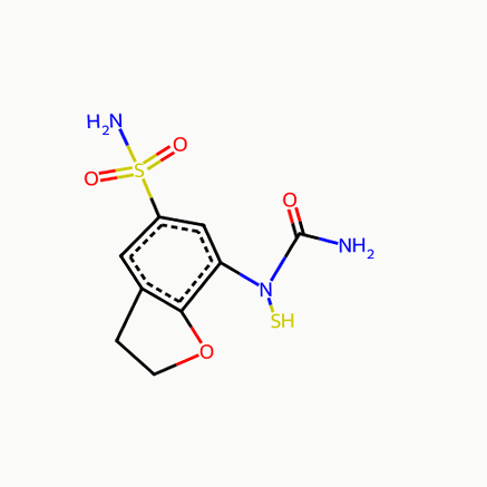 NC(=O)N(S)c1cc(S(N)(=O)=O)cc2c1OCC2